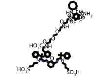 CC1(C)C(/C=C/C2=C(Oc3ccc(C[C@H](NC(=O)CCOCCOCCNC(=O)CCS(=O)(=O)c4c(F)c(F)c(S(N)(=O)=O)c(F)c4NC4CCCCCCC4)C(=O)O)cc3)C(=C/C=C3/N(CCCCS(=O)(=O)O)c4ccccc4C3(C)C)/CCC2)=[N+](CCCCS(=O)(=O)O)c2ccccc21